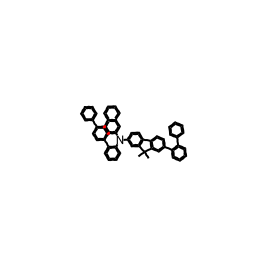 CC1(C)c2cc(-c3ccccc3-c3ccccc3)ccc2-c2ccc(N(c3ccc4ccccc4c3)c3ccccc3-c3ccc(-c4ccccc4)cc3)cc21